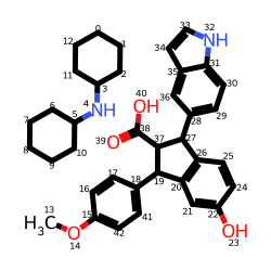 C1CCC(NC2CCCCC2)CC1.COc1ccc(C2c3cc(O)ccc3C(c3ccc4[nH]ccc4c3)C2C(=O)O)cc1